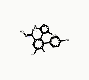 CCCc1cc(/C(N)=N/O)c(-c2c(C)csc2C)c(-c2ccc(O)cc2)c1F